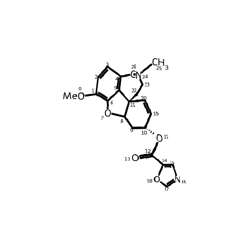 COc1ccc2c3c1OC1C[C@@H](OC(=O)c4cnco4)C=C[C@@]31CCN(C)C2